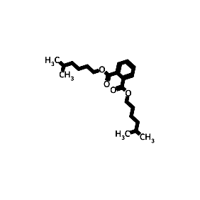 CC(C)CCCCOC(=O)c1ccccc1C(=O)OCCCCC(C)C